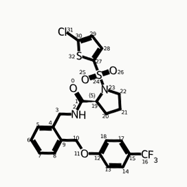 O=C(NCc1ccccc1COc1ccc(C(F)(F)F)cc1)[C@@H]1CCCN1S(=O)(=O)c1ccc(Cl)s1